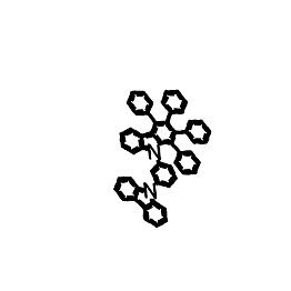 c1ccc(-c2c(-c3ccccc3)c(-c3ccccc3)c3c(c2-c2ccccc2)c2ccccc2n3-c2cccc(-n3c4ccccc4c4ccccc43)c2)cc1